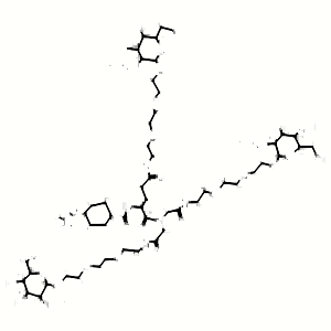 CCP(=O)(O)O[C@H]1CC[C@H](C(=O)NC(CCC(=O)NCCOCCOCCOC2OC(CO)C(O)C(O)C2NC(C)=O)C(=O)N(CC(=O)NCCOCCOCCOC2OC(CO)C(O)C(O)C2NC(C)=O)CC(=O)NCCOCCOCCOC2OC(CO)C(O)C(O)C2NC(C)=O)CC1